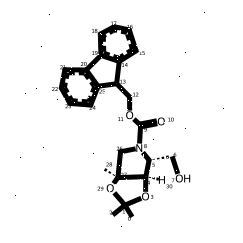 CC1(C)O[C@@H]2[C@@H](CO)N(C(=O)OCC3c4ccccc4-c4ccccc43)C[C@]2(C)O1